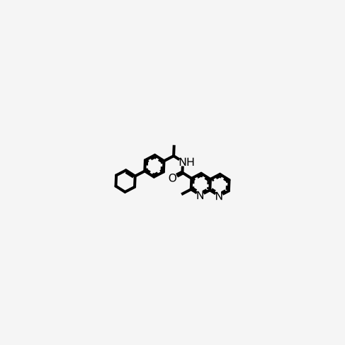 Cc1nc2ncccc2cc1C(=O)NC(C)c1ccc(C2=CCCCC2)cc1